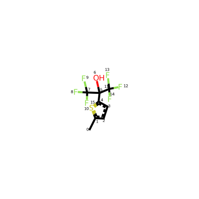 Cc1ccc(C(O)(C(F)(F)F)C(F)(F)F)s1